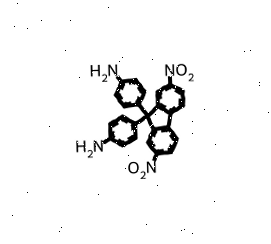 Nc1ccc(C2(c3ccc(N)cc3)c3cc([N+](=O)[O-])ccc3-c3ccc([N+](=O)[O-])cc32)cc1